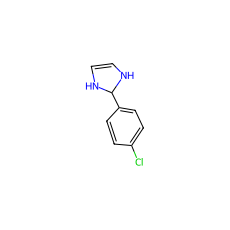 Clc1ccc(C2NC=CN2)cc1